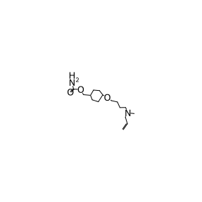 C=CCN(C)CCCCOC1CCC(COC(N)=O)CC1